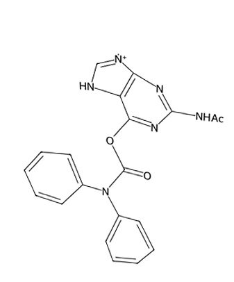 CC(=O)Nc1nc2c(c(OC(=O)N(c3ccccc3)c3ccccc3)n1)NC=[N+]2